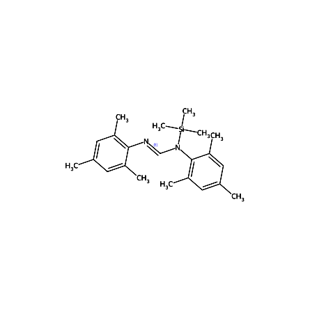 Cc1cc(C)c(/N=C/N(c2c(C)cc(C)cc2C)[Si](C)(C)C)c(C)c1